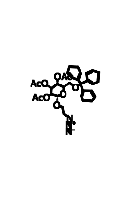 CC(=O)O[C@H]1[C@@H](OC(C)=O)[C@@H](COC(c2ccccc2)(c2ccccc2)c2ccccc2)O[C@H](OCCN=[N+]=[N-])[C@@H]1OC(C)=O